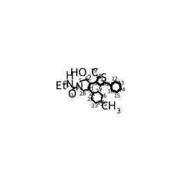 CCNC(=O)N1CCC(c2cc(-c3ccccc3)sc2C(=O)O)=C(C2CCC(C)CC2)C1